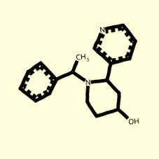 CC(c1ccccc1)N1CCC(O)CC1c1cccnc1